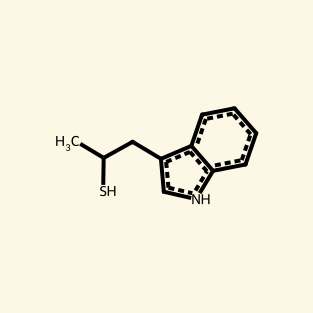 CC(S)Cc1c[nH]c2ccccc12